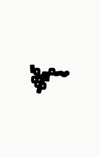 CCCCOC1CC(C(=O)OCC)(C2OC(C)O2)C1